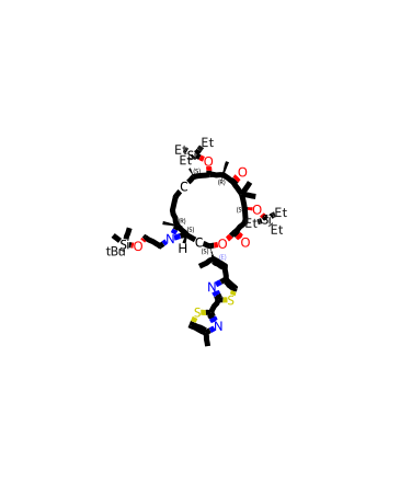 CC[Si](CC)(CC)OC1[C@@H](C)CCC[C@]2(C)[C@H](C[C@@H](/C(C)=C/c3csc(-c4nc(C)cs4)n3)OC(=O)C[C@H](O[Si](CC)(CC)CC)C(C)(C)C(=O)[C@@H]1C)N2CCO[Si](C)(C)C(C)(C)C